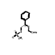 COCO[C@H](CSS(C)(=O)=O)c1ccccc1